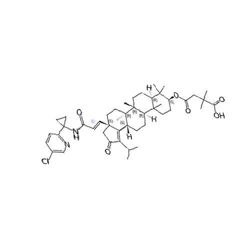 CC(C)C1=C2[C@H]3CC[C@@H]4C5(C)CC[C@H](OC(=O)CC(C)(C)C(=O)O)C(C)(C)[C@@H]5CC[C@@]4(C)[C@]3(C)CC[C@@]2(/C=C/C(=O)NC2(c3ccc(Cl)cn3)CC2)CC1=O